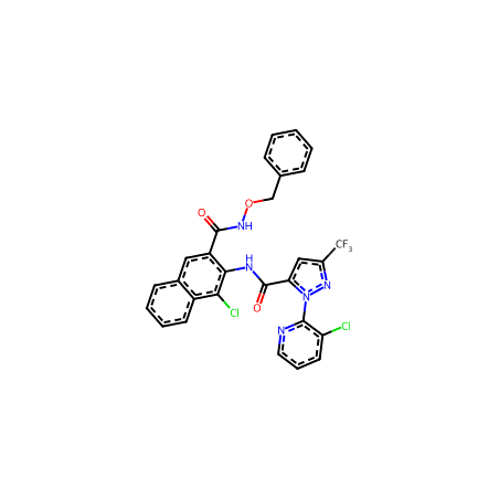 O=C(NOCc1ccccc1)c1cc2ccccc2c(Cl)c1NC(=O)c1cc(C(F)(F)F)nn1-c1ncccc1Cl